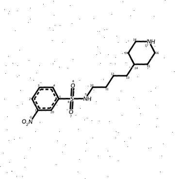 O=[N+]([O-])c1cccc(S(=O)(=O)NCCCCC2CCNCC2)c1